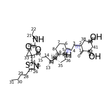 C=C1/C(=C\C=C2/CCC[C@]3(C)[C@@H]([C@H](C)CC[C@@H](OC(=O)NCC)C4(c5ncc(CCCC)s5)CC4)CC[C@@H]23)C[C@@H](O)C[C@@H]1O